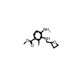 COC(=O)c1ccc(N)c(NCC2CCO2)c1F